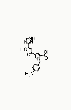 Nc1ccc(Cn2cc(C(=O)C=C(O)c3nc[nH]n3)cc2C(=O)O)cc1